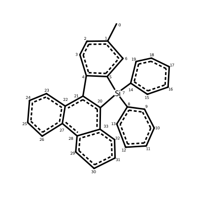 Cc1ccc2c(c1)[Si](c1ccccc1)(c1ccccc1)c1c-2c2ccccc2c2ccccc12